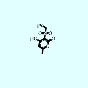 Cc1cc(O)c(S(=O)(=O)CC(C)C)c(=O)o1